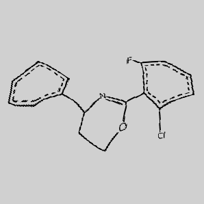 Fc1cccc(Cl)c1C1=NC(c2ccccc2)CCO1